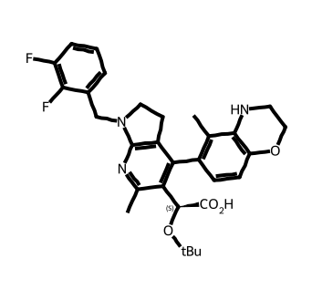 Cc1nc2c(c(-c3ccc4c(c3C)NCCO4)c1[C@H](OC(C)(C)C)C(=O)O)CCN2Cc1cccc(F)c1F